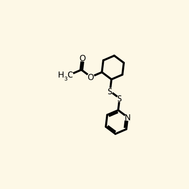 CC(=O)OC1CCCCC1SSc1ccccn1